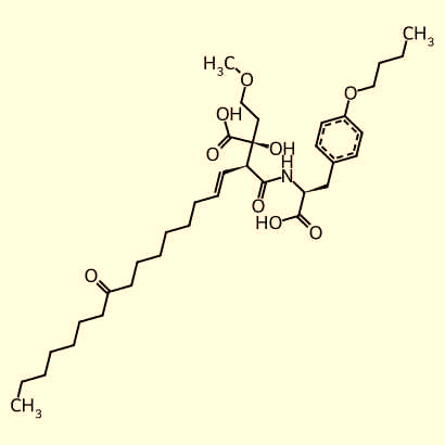 CCCCCCCC(=O)CCCCCCC=C[C@H](C(=O)N[C@@H](Cc1ccc(OCCCC)cc1)C(=O)O)[C@@](O)(CCOC)C(=O)O